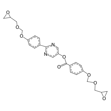 O=C(Oc1cnc(-c2ccc(OCOCC3CO3)cc2)nc1)c1ccc(OCOCC2CO2)cc1